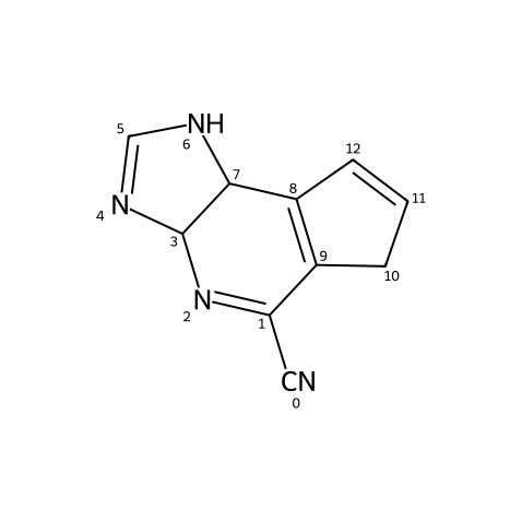 N#CC1=NC2N=CNC2C2=C1CC=C2